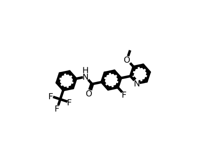 COc1cccnc1-c1ccc(C(=O)Nc2cccc(C(F)(F)F)c2)cc1F